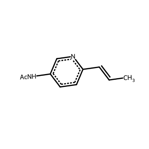 C/C=C/c1ccc(NC(C)=O)cn1